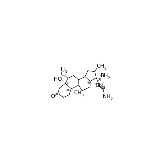 B[C@@]1(C#CN)C(C)CC2C3CC(C)[C@]4(O)CC(=O)CC[C@]4(C)C3CC[C@@]21C